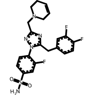 NS(=O)(=O)c1ccc(-n2nc(CN3CC=CCC3)nc2Cc2ccc(F)c(F)c2)c(F)c1